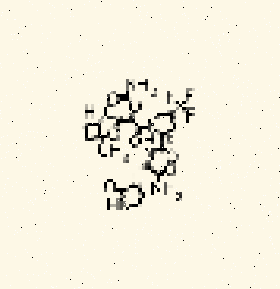 C[C@@H](OC1(C)CCC1)[C@H](OC(N)=O)C(=O)N1C[C@H](C(F)(F)F)C[C@H]1C(=O)N[C@@H](C[C@@H]1CCNC1=O)C(N)=O